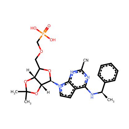 C[C@@H](Nc1nc(C#N)nc2c1ccn2[C@@H]1OC(COCP(=O)(O)O)[C@H]2OC(C)(C)O[C@H]21)c1ccccc1